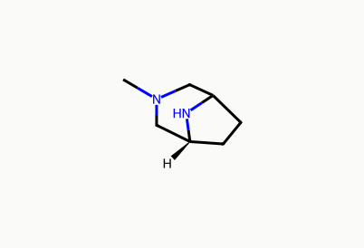 CN1CC2CC[C@H](C1)N2